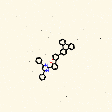 c1ccc(-c2cc(-c3ccccc3)nc(-c3cccc4c3oc3ccc(-c5ccc6c7ccccc7c7ccccc7c6c5)cc34)n2)cc1